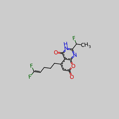 CC(F)c1nc2oc(=O)cc(CCCC=C(F)F)c2c(=O)[nH]1